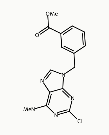 CNc1nc(Cl)nc2c1ncn2Cc1cccc(C(=O)OC)c1